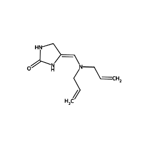 C=CCN(C=C1CNC(=O)N1)CC=C